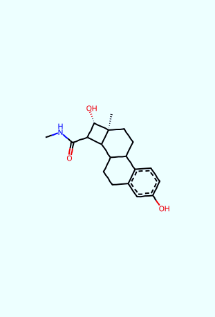 CNC(=O)C1C2C3CCc4cc(O)ccc4C3CC[C@]2(C)[C@H]1O